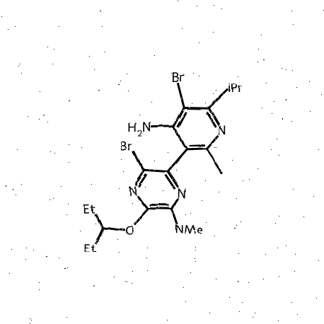 CCC(CC)Oc1nc(Br)c(-c2c(C)nc(C(C)C)c(Br)c2N)nc1NC